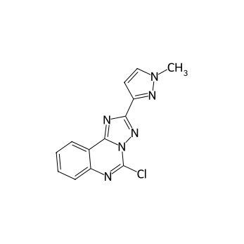 Cn1ccc(-c2nc3c4ccccc4nc(Cl)n3n2)n1